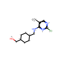 O=[N+]([O-])c1cnc(Cl)nc1NCC1CCC(CO)CC1